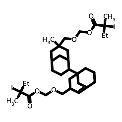 CCC(C)(I)C(=O)OCOCC1C=C2CCCC(C3CCC4CC3CC(C)(COCOC(=O)C(C)(I)CC)C4)(C2)C1